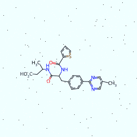 Cc1cnc(-c2ccc(CC(NC(=O)c3cccs3)C(=O)NC(C)CC(=O)O)cc2)nc1